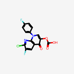 O=C(O)Oc1cn(-c2ccc(F)cc2)c2nc(Cl)c(F)cc2c1=O